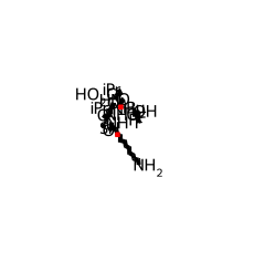 CC[C@H](C)[C@H](NC(=O)[C@@H](NC(=O)[C@@H](CS)NC(=O)CCCCCCCCCCCN)C(C)C)C(=O)N[C@@H](CC(C)C)C(=O)O.O=C(O)C(F)(F)F